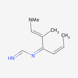 C\C=C/C(=N/C=N)C(/C)=C/NC